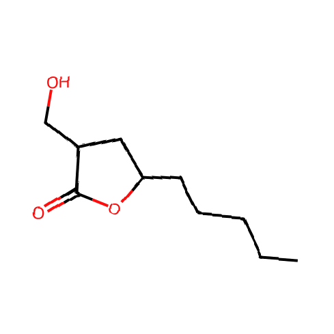 CCCCCC1CC(CO)C(=O)O1